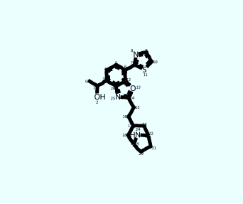 CC(O)c1ccc(-c2nccs2)c2oc(CCC3CC4CCC(C3)N4)nc12